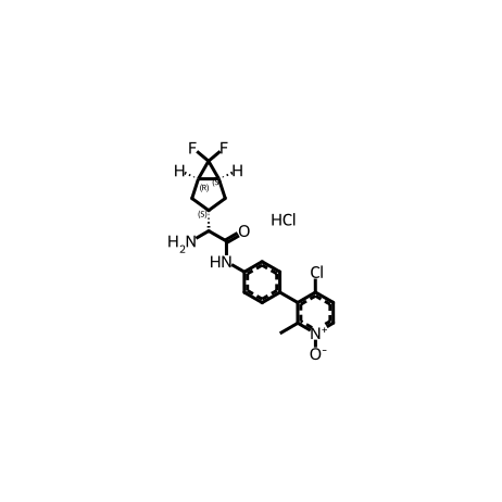 Cc1c(-c2ccc(NC(=O)C(N)[C@@H]3C[C@@H]4[C@H](C3)C4(F)F)cc2)c(Cl)cc[n+]1[O-].Cl